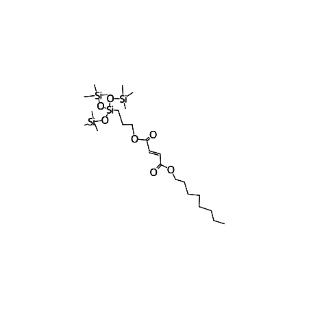 CCCCCCCCOC(=O)C=CC(=O)OCCC[Si](O[Si](C)(C)C)(O[Si](C)(C)C)O[Si](C)(C)C